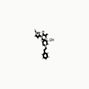 CC1OC2(CCN(CCc3ccccc3)CC2)CN(c2ccn(C)n2)C1=O.Cl